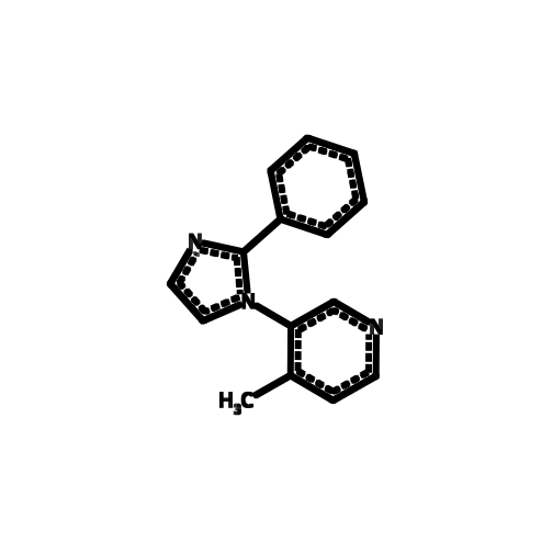 Cc1ccncc1-n1ccnc1-c1ccccc1